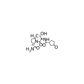 CC(O)[C@H](NC(=O)C1CCC(=O)C1)C(=O)N1CCC[C@H]1C(N)=O